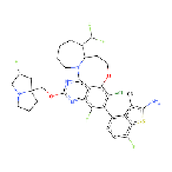 N#Cc1c(N)sc2c(F)ccc(-c3c(Cl)c4c5c(nc(OCC67CCCN6C[C@H](F)C7)nc5c3F)N3CCCCC(C(F)F)C3CCO4)c12